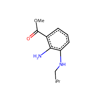 COC(=O)c1cccc(NCC(C)C)c1N